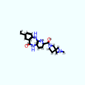 CCc1ccc2c(c1)C(=O)Nc1ccc(C(=O)N3CCC4(CN(C)C4)C3)nc1N2